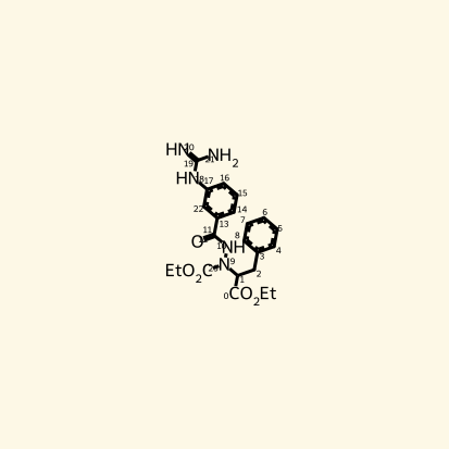 CCOC(=O)C(Cc1ccccc1)N(NC(=O)c1cccc(NC(=N)N)c1)C(=O)OCC